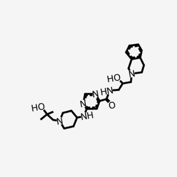 CC(C)(O)CN1CCC(Nc2cc(C(=O)NCC(O)CN3CCc4ccccc4C3)ncn2)CC1